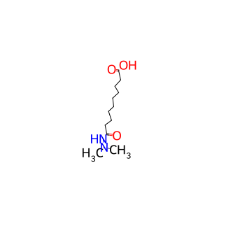 CN(C)NC(=O)CCCCCCCCC(=O)O